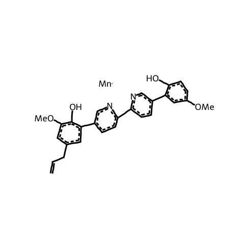 C=CCc1cc(OC)c(O)c(-c2ccc(-c3ccc(-c4cc(OC)ccc4O)cn3)nc2)c1.[Mn]